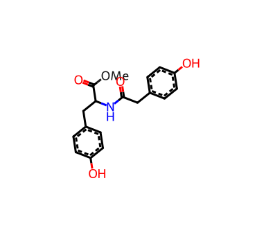 COC(=O)C(Cc1ccc(O)cc1)NC(=O)Cc1ccc(O)cc1